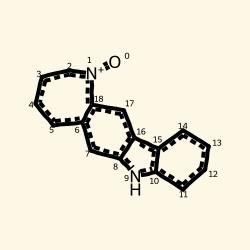 O=[n+]1ccccc2cc3[nH]c4ccccc4c3cc21